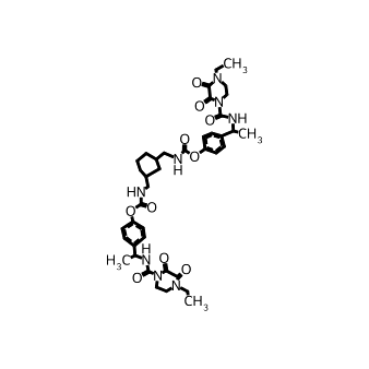 CCN1CCN(C(=O)NC(C)c2ccc(OC(=O)NCC3CCCC(CNC(=O)Oc4ccc(C(C)NC(=O)N5CCN(CC)C(=O)C5=O)cc4)C3)cc2)C(=O)C1=O